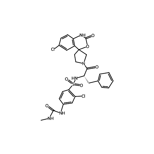 CNC(=O)Nc1ccc(S(=O)(=O)N[C@@H](Cc2ccccc2)C(=O)N2CCC3(C2)OC(=O)Nc2ccc(Cl)cc23)c(Cl)c1